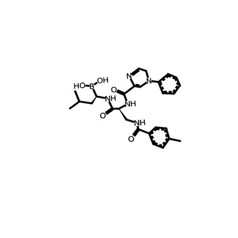 Cc1ccc(C(=O)NC[C@H](NC(=O)C2=CN(c3ccccc3)CC=N2)C(=O)N[C@@H](CC(C)C)B(O)O)cc1